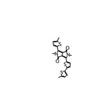 Cc1ccc(C2=C3C(=O)N(C)C(c4ccc(-c5ccc(C)s5)s4)=C3C(=O)N2C)s1